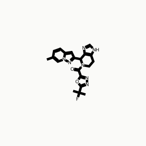 Cc1ccc2cc(C3c4nc[nH]c4CCN3C(=O)c3nnc(C(C)(C)F)o3)nn2c1